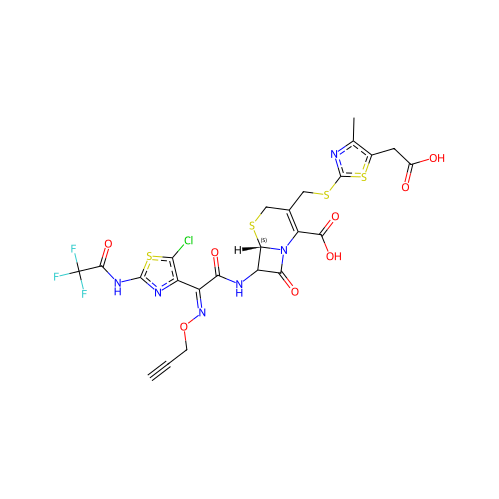 C#CCON=C(C(=O)NC1C(=O)N2C(C(=O)O)=C(CSc3nc(C)c(CC(=O)O)s3)CS[C@@H]12)c1nc(NC(=O)C(F)(F)F)sc1Cl